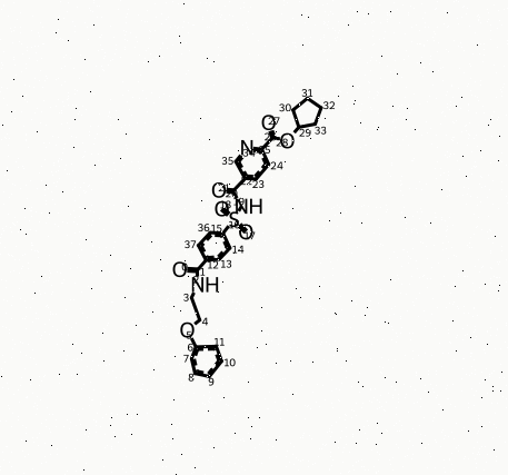 O=C(NCCOc1ccccc1)c1ccc(S(=O)(=O)NC(=O)c2ccc(C(=O)OC3CCCC3)nc2)cc1